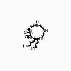 OCCCC1NCCNCCNCCNC(Cl)C(Cl)NC1CCCO